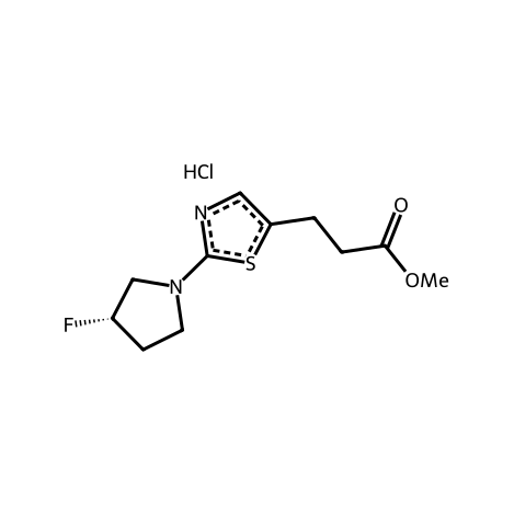 COC(=O)CCc1cnc(N2CC[C@H](F)C2)s1.Cl